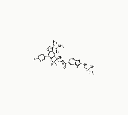 C[C@@H](O)CNc1nc2ccc(C(=O)NCC(O)(c3cc4c(c(-c5ccc(F)cc5)n3)OC[C@]4(C)C(N)=O)C(F)(F)F)cc2s1